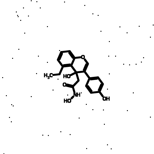 CCc1cccc2c1C(O)(CC(=O)NO)C(c1ccc(O)cc1)=CO2